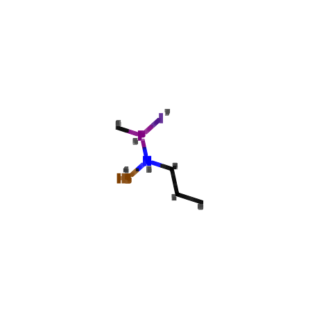 CCCN(S)P(C)I